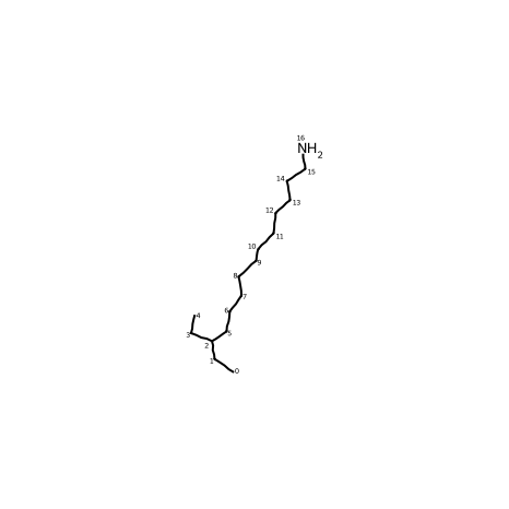 CCC(CC)CCCCCCCCCCCN